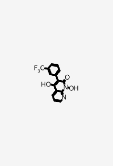 O=c1c(-c2cccc(C(F)(F)F)c2)c(O)c2cccnc2n1O